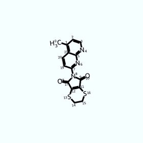 Cc1ccnc2nc(N3C(=O)C4=C(SCCS4)C3=O)ccc12